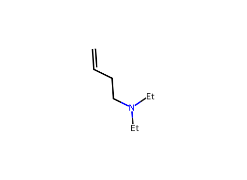 [CH]=CCCN(CC)CC